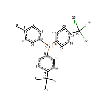 Cc1ccc([SH](c2ccc(C(C)(C)C)cc2)c2ccc(C(F)(F)F)cc2)cc1